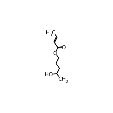 CC=CC(=O)OCCCC(C)O